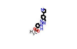 CS(=O)(=O)c1cccc(Nc2ncc3cc(-c4cccnc4)ccc3n2)c1